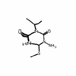 CSC1NC(=O)N(C(C)C)C(=O)N1N